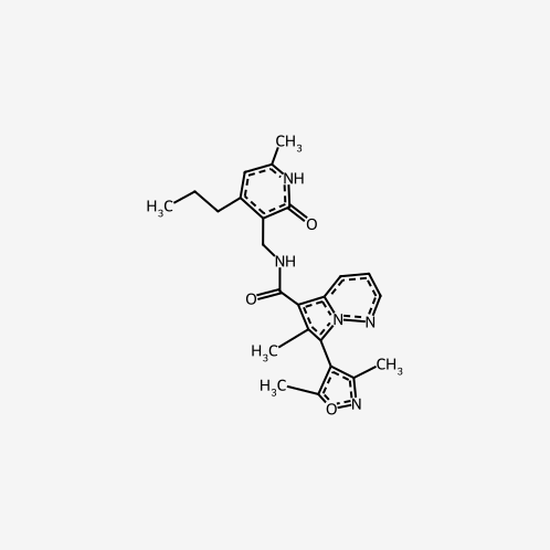 CCCc1cc(C)[nH]c(=O)c1CNC(=O)c1c(C)c(-c2c(C)noc2C)n2ncccc12